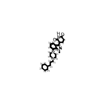 Cn1nc(C2CCC(=O)NC2=O)c2cccc(N3CCN(CCCC4CCCCC4)CC3)c21